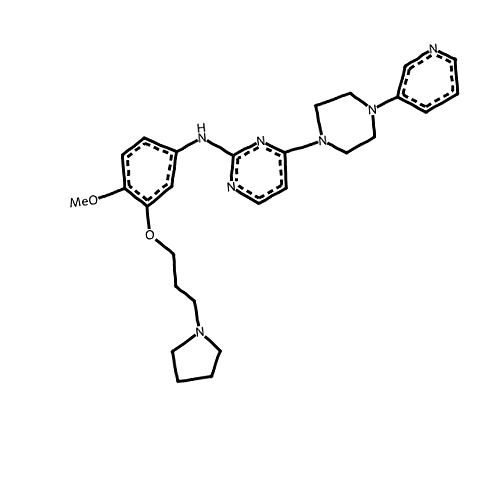 COc1ccc(Nc2nccc(N3CCN(c4cccnc4)CC3)n2)cc1OCCCN1CCCC1